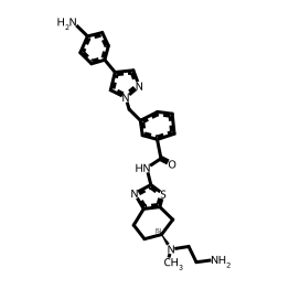 CN(CCN)[C@H]1CCc2nc(NC(=O)c3cccc(Cn4cc(-c5ccc(N)cc5)cn4)c3)sc2C1